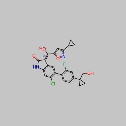 O=C1Nc2cc(Cl)c(-c3ccc(C4(CO)CC4)cc3F)cc2/C1=C(/O)c1cc(C2CC2)no1